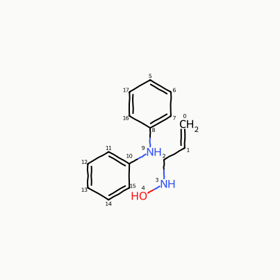 C=CCNO.c1ccc(Nc2ccccc2)cc1